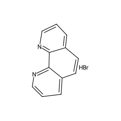 Br.c1cnc2c(c1)ccc1cccnc12